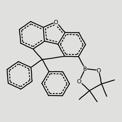 CC1(C)OB(c2ccc3oc4cccc5c4c3c2C5(c2ccccc2)c2ccccc2)OC1(C)C